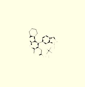 Cc1nc2sc3c(c2c(-c2ccc4cn[nH]c4c2)c1[C@H](OC(C)(C)C)C(=O)O)CCCC3